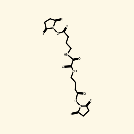 O=C(CCCNC(=O)C(=O)NCCCC(=O)ON1C(=O)CCC1=O)ON1C(=O)CCC1=O